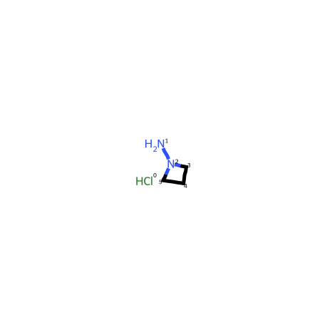 Cl.NN1CCC1